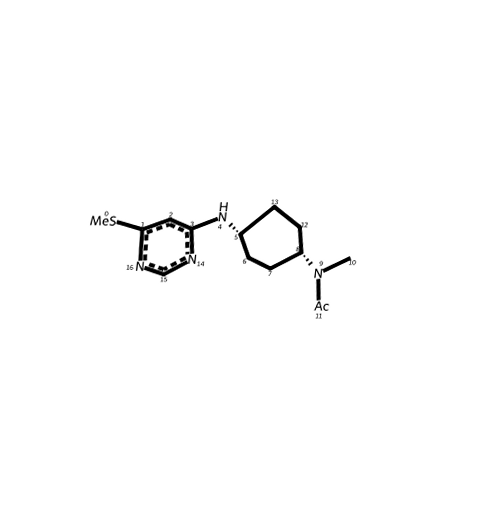 CSc1cc(N[C@H]2CC[C@@H](N(C)C(C)=O)CC2)ncn1